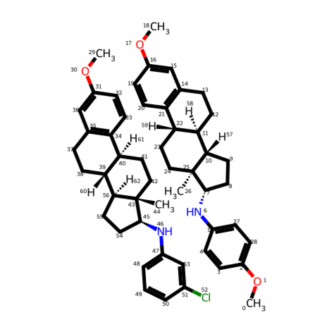 COc1ccc(N[C@H]2CC[C@H]3[C@@H]4CCc5cc(OC)ccc5[C@H]4CC[C@]23C)cc1.COc1ccc2c(c1)CC[C@@H]1[C@@H]2CC[C@]2(C)[C@@H](Nc3cccc(Cl)c3)CC[C@@H]12